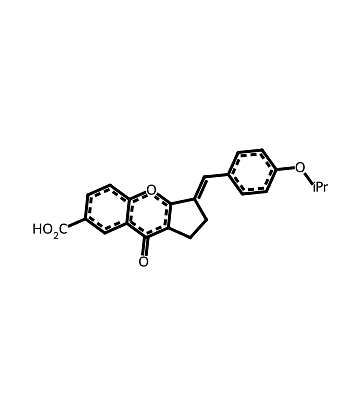 CC(C)Oc1ccc(/C=C2\CCc3c2oc2ccc(C(=O)O)cc2c3=O)cc1